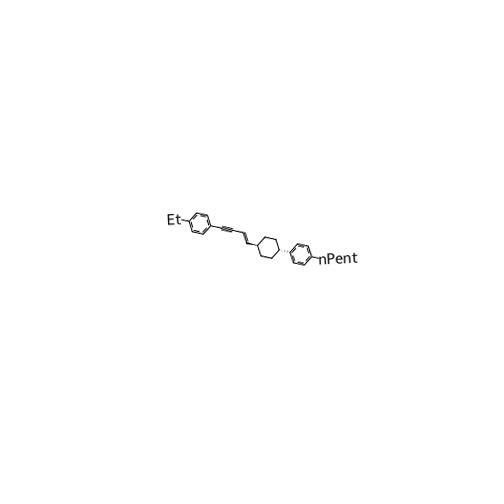 CCCCCc1ccc([C@H]2CC[C@H](C=CC#Cc3ccc(CC)cc3)CC2)cc1